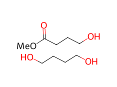 COC(=O)CCCO.OCCCCO